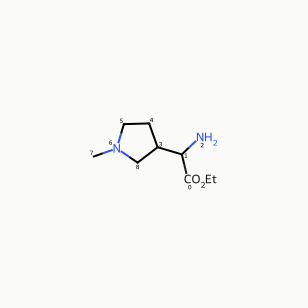 CCOC(=O)C(N)C1CCN(C)C1